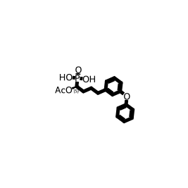 CC(=O)O[C@H](CCCc1cccc(Oc2ccccc2)c1)P(=O)(O)O